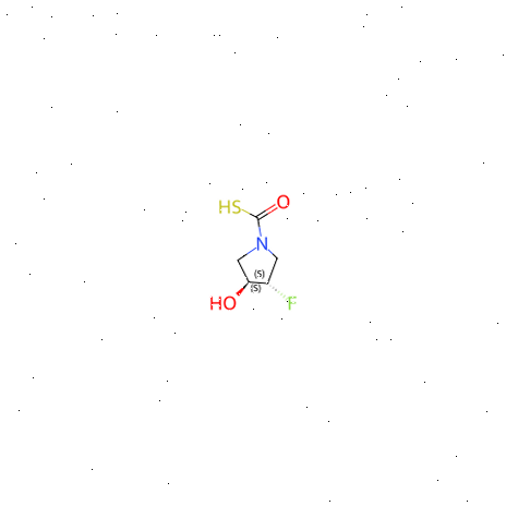 O=C(S)N1C[C@H](O)[C@@H](F)C1